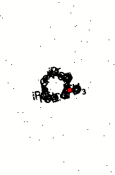 CC(C)N1CCOCCN(C(C)C)S(=O)(=O)NOCc2ccc3c(C4CCCCC4)c(n(C)c3c2)-c2ccccc2OCC1=O